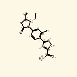 CC[C@H]1[C@H](O)CC(=O)N1c1ccc(-c2noc(C(N)=O)n2)c(Cl)c1